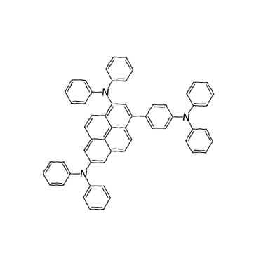 c1ccc(N(c2ccccc2)c2ccc(-c3cc(N(c4ccccc4)c4ccccc4)c4ccc5cc(N(c6ccccc6)c6ccccc6)cc6ccc3c4c65)cc2)cc1